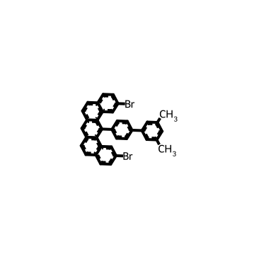 Cc1cc(C)cc(-c2ccc(-c3c4c(ccc5ccc(Br)cc54)cc4ccc5ccc(Br)cc5c34)cc2)c1